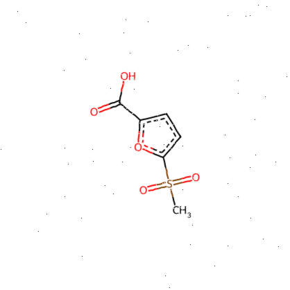 CS(=O)(=O)c1ccc(C(=O)O)o1